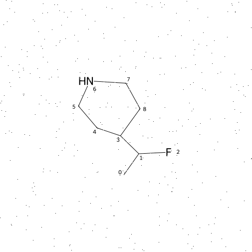 CC(F)C1CCNCC1